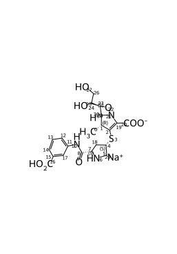 C[C@H]1C(S[C@@H]2CN[C@H](C(=O)Nc3cccc(C(=O)O)c3)C2)=C(C(=O)[O-])N2O[C@H](C(O)CO)[C@H]12.[Na+]